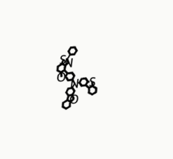 c1ccc(-c2nc3c(ccc4oc5cc(N(c6ccc7c(c6)oc6ccccc67)c6ccc7sc8ccccc8c7c6)ccc5c43)s2)cc1